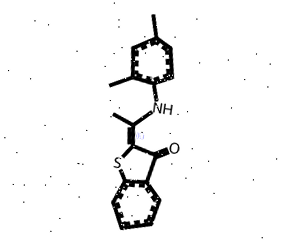 C/C(Nc1ccc(C)cc1C)=C1\Sc2ccccc2C1=O